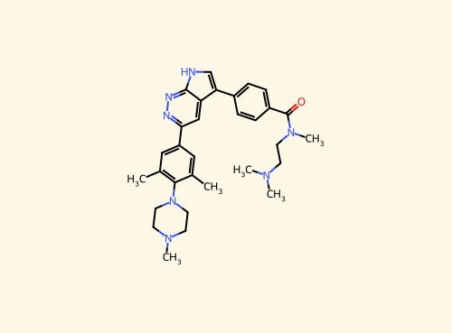 Cc1cc(-c2cc3c(-c4ccc(C(=O)N(C)CCN(C)C)cc4)c[nH]c3nn2)cc(C)c1N1CCN(C)CC1